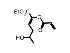 C=CC(=O)OC(=CCC(C)O)C(=O)OCC